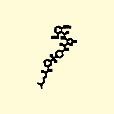 COc1cccc(OC)c1C(=O)Nc1c[nH]nc1C(=O)NC1CCN(S(=O)(=O)c2cccc(NC(=O)/C=C/CN(C)C)c2)CC1